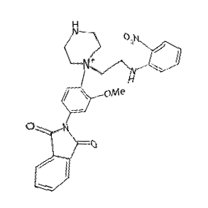 COc1cc(N2C(=O)c3ccccc3C2=O)ccc1[N+]1(CCNc2ccccc2[N+](=O)[O-])CCNCC1